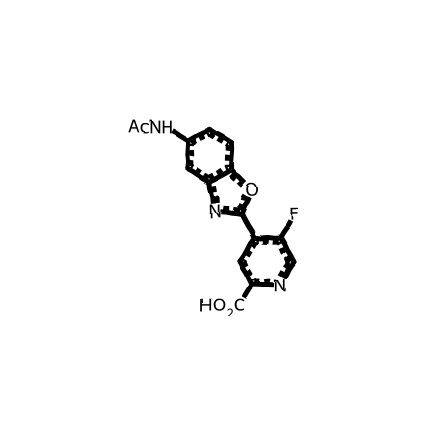 CC(=O)Nc1ccc2oc(-c3cc(C(=O)O)ncc3F)nc2c1